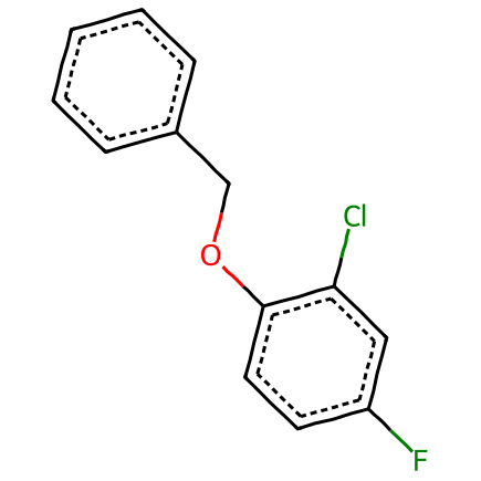 Fc1ccc(OCc2ccccc2)c(Cl)c1